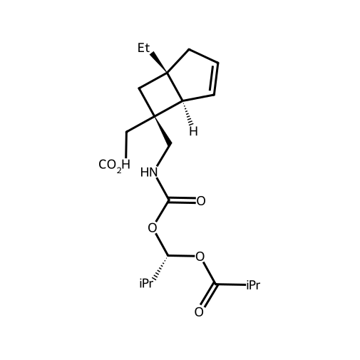 CC[C@@]12CC=C[C@H]1[C@](CNC(=O)O[C@H](OC(=O)C(C)C)C(C)C)(CC(=O)O)C2